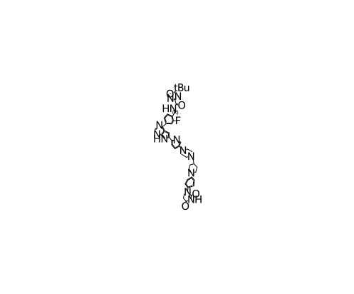 C[C@@H](NC(=O)c1noc(C(C)(C)C)n1)c1ccc(-c2ncnc3[nH]c(-c4ccc(N5CCN(CC6CCN(c7ccc(N8CCC(=O)NC8=O)cc7)CC6)CC5)cn4)cc23)cc1F